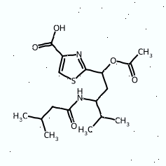 CC(=O)OC(CC(NC(=O)CC(C)C)C(C)C)c1nc(C(=O)O)cs1